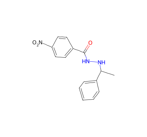 CC(NNC(=O)c1ccc([N+](=O)[O-])cc1)c1ccccc1